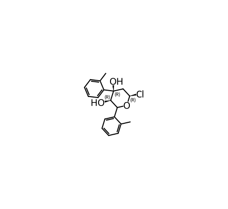 Cc1ccccc1C1O[C@H](Cl)C[C@@](O)(c2ccccc2C)[C@@H]1O